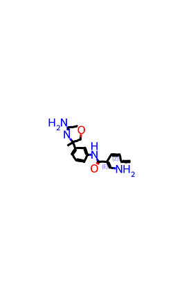 C=C/C=C\C(=C/N)C(=O)Nc1cccc(C2(C)COCC(N)=N2)c1